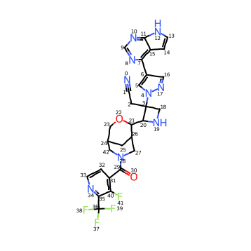 N#CCC1(n2cc(-c3ncnc4[nH]ccc34)cn2)CNC1C1OCC2CC1CN(C(=O)c1ccnc(C(F)(F)F)c1F)C2